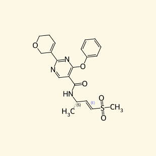 C[C@@H](/C=C/S(C)(=O)=O)NC(=O)c1cnc(C2=CCCOC2)nc1Oc1ccccc1